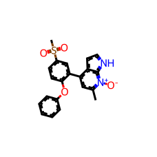 Cc1cc(-c2cc(S(C)(=O)=O)ccc2Oc2ccccc2)c2cc[nH]c2[n+]1[O-]